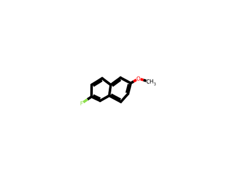 COc1ccc2cc(F)ccc2c1